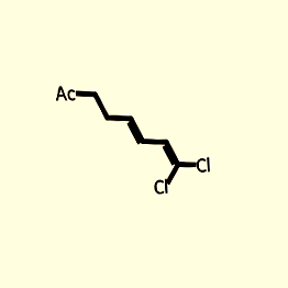 CC(=O)CCC=CC=C(Cl)Cl